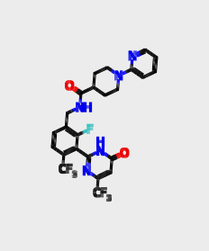 O=C(NCc1ccc(C(F)(F)F)c(-c2nc(C(F)(F)F)cc(=O)[nH]2)c1F)C1CCN(c2ccccn2)CC1